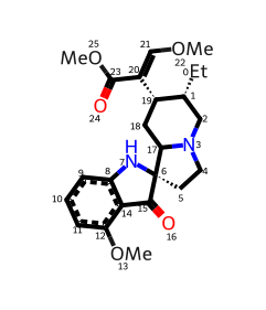 CC[C@@H]1CN2CC[C@]3(Nc4cccc(OC)c4C3=O)C2C[C@@H]1/C(=C\OC)C(=O)OC